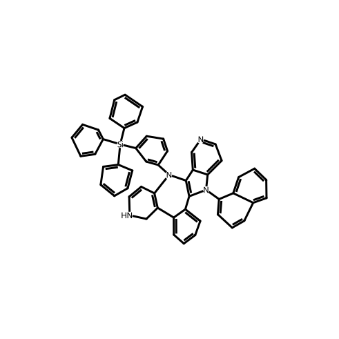 C1=CC2=C(CN1)c1ccccc1-c1c(c3cnccc3n1-c1cccc3ccccc13)N2c1cccc([Si](c2ccccc2)(c2ccccc2)c2ccccc2)c1